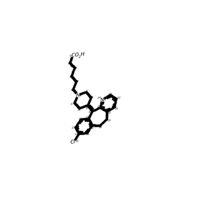 O=C(O)CCCCCN1CCC(=C2c3ccc(Cl)cc3CCc3cccnc32)CC1